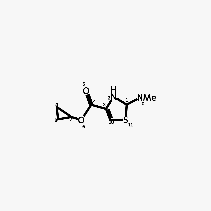 CNC1NC(C(=O)OC2CC2)=CS1